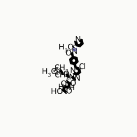 C/S(=N\C(=O)c1ccc(-c2nc3c(cc2Cl)nc(O[C@@H]2CO[C@H]4[C@@H]2OC[C@H]4O)n3COCC[Si](C)(C)C)cc1)c1cccnc1